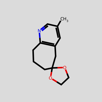 Cc1cnc2c(c1)CC1(CCC2)OCCO1